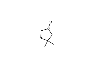 CC1(C)C[S+]([O-])C=N1